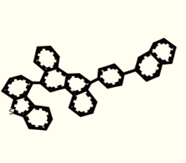 c1ccc2cc(-c3ccc(-c4cc5c6ccccc6c(-c6cccc7sc8ccccc8c67)cc5c5ccccc45)cc3)ccc2c1